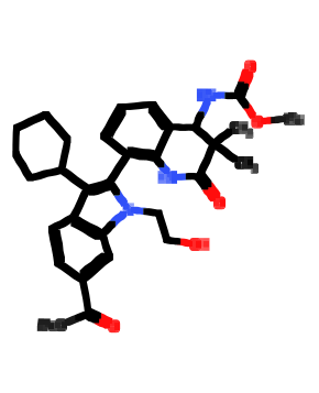 COC(=O)c1ccc2c(C3CCCCC3)c(-c3cccc4c3NC(=O)C(C)(C)C4NC(=O)OC(C)(C)C)n(CCO)c2c1